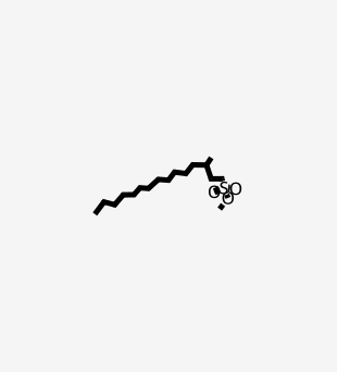 CCCCCCCCCCCCC(C)CCS(=O)(=O)OC